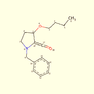 CCCCOC1CCN(Cc2ccccc2)C1=C=O